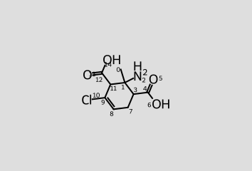 CC1(N)C(C(=O)O)CC=C(Cl)C1C(=O)O